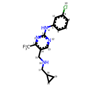 FC(F)(F)c1nc(Nc2cccc(Cl)c2)ncc1CNCC1CC1